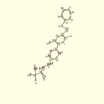 Cc1cc(-c2cnc(NNC(=O)C(F)(F)Br)cn2)c(F)cc1OCc1ccccc1